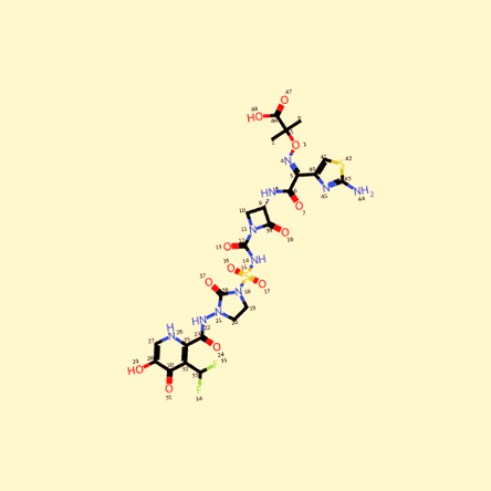 CC(C)(ON=C(C(=O)N[C@H]1CN(C(=O)NS(=O)(=O)N2CCN(NC(=O)c3[nH]cc(O)c(=O)c3C(F)F)C2=O)C1=O)c1csc(N)n1)C(=O)O